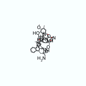 COc1c(C)cc2c(c1O)[C@H]1[C@@H]3[C@@H]4SC[C@]5(N[C@@H](CN)Cc6c5[nH]c5ccccc65)C(=O)OC[C@@H](c5c6c(c(C)c(OC(C)=O)c54)OCO6)N3C(C#N)(C2)CN1C